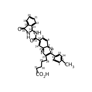 Cc1ccc(-c2nc3ccc(C(=O)NC4NC(=O)c5ccccc54)cc3nc2CCCCC(=O)O)cc1